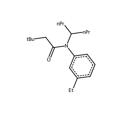 CCCC(CCC)N(C(=O)CC(C)(C)C)c1cccc(CC)c1